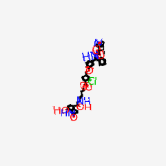 O=C(NC(c1ccccc1)c1cccc(OCc2ccc(C(=O)OCCCCNC[C@@H](O)c3ccc(O)c4[nH]c(=O)ccc34)c(Cl)c2)c1)O[C@H]1CN2CCC1CC2